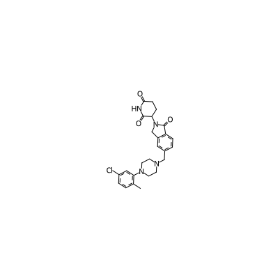 Cc1ccc(Cl)cc1N1CCN(Cc2ccc3c(c2)CN(C2CCC(=O)NC2=O)C3=O)CC1